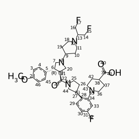 COc1ccc([C@@H]2CN(C3CCN(C(CF)CF)CC3)C[C@H]2C(=O)N2CC[C@@H](c3ccc(F)cc3N3CCC(C(=O)O)CC3)C2)cc1